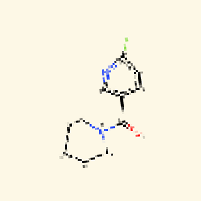 O=C(c1ccc(F)nc1)N1CCCCC1